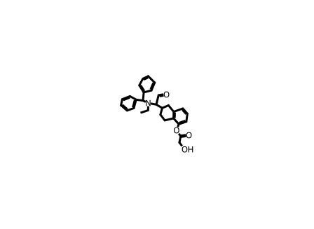 CCN(C(c1ccccc1)c1ccccc1)C(C=O)C1CCc2c(cccc2OC(=O)CO)C1